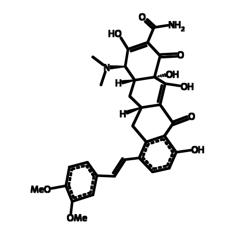 COc1ccc(/C=C/c2ccc(O)c3c2C[C@@H]2C[C@@H]4[C@@H](N(C)C)C(O)=C(C(N)=O)C(=O)[C@@]4(O)C(O)=C2C3=O)cc1OC